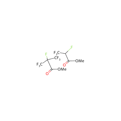 COC(=O)C(F)(C(F)(F)F)C(F)(F)F.COC(=O)C(F)C(F)(F)F